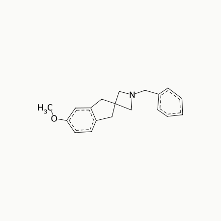 COc1ccc2c(c1)CC1(C2)CN(Cc2ccccc2)C1